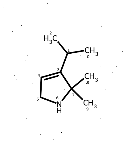 CC(C)C1=CCNC1(C)C